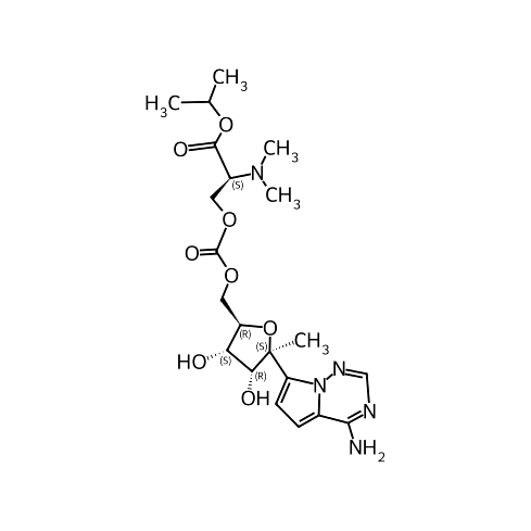 CC(C)OC(=O)[C@H](COC(=O)OC[C@H]1O[C@@](C)(c2ccc3c(N)ncnn23)[C@H](O)[C@@H]1O)N(C)C